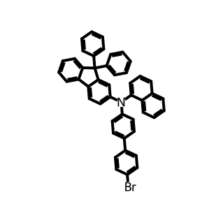 Brc1ccc(-c2ccc(N(c3ccc4c(c3)C(c3ccccc3)(c3ccccc3)c3ccccc3-4)c3cccc4ccccc34)cc2)cc1